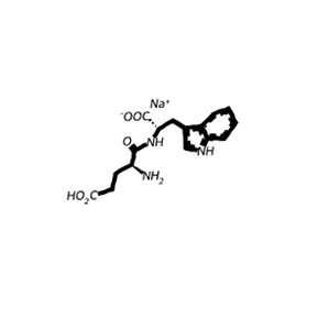 N[C@@H](CCC(=O)O)C(=O)N[C@@H](Cc1c[nH]c2ccccc12)C(=O)[O-].[Na+]